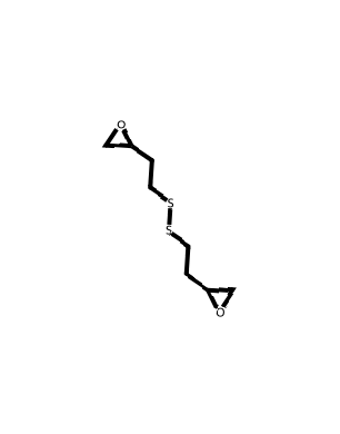 C(CC1CO1)SSCCC1CO1